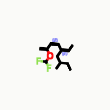 C=C(/C=C\C(=C/C)CC(C)CC)OC(F)F